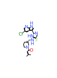 CC(C)=CC(=O)N1CCC[C@H](CNC2=C(F)C=NC(c3c[nH]c4ncc(Cl)cc34)N2)C1